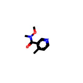 CON(C)C(=O)c1cnccc1C